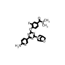 CN(C)C(=O)c1ccc(Oc2nc(-c3ccc(N)nc3)nc(N3CC4COC(C4)C3)n2)c(F)c1